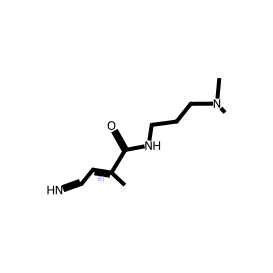 C/C(=C\C=N)C(=O)NCCCN(C)C